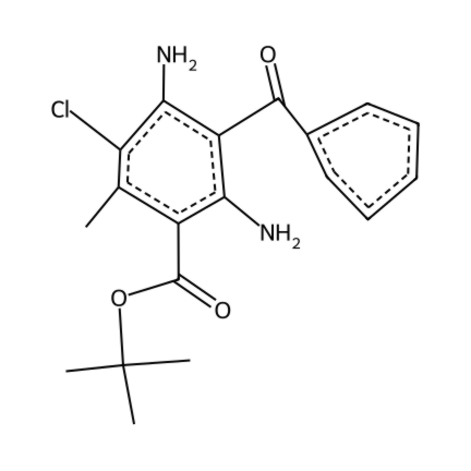 Cc1c(Cl)c(N)c(C(=O)c2ccccc2)c(N)c1C(=O)OC(C)(C)C